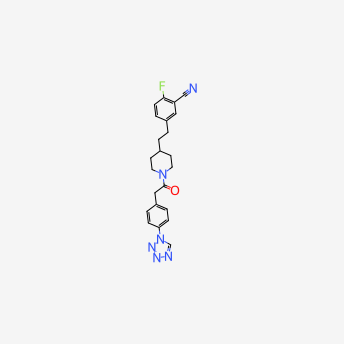 N#Cc1cc(CCC2CCN(C(=O)Cc3ccc(-n4cnnn4)cc3)CC2)ccc1F